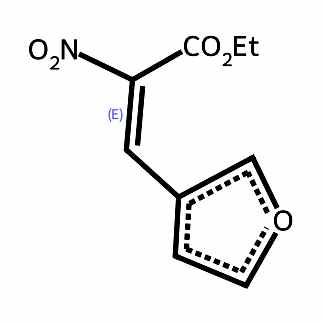 CCOC(=O)/C(=C\c1ccoc1)[N+](=O)[O-]